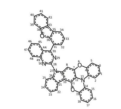 c1ccc2c(c1)Oc1cc3c(c4c1N2c1ccccc1O4)c1ccccc1n3-c1nc(-c2cccc3c2oc2ccccc23)c2ccccc2n1